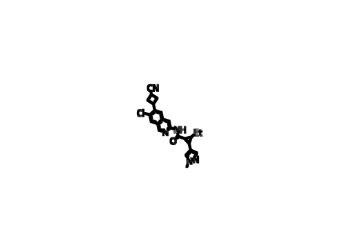 CCC1C(C(=O)Nc2cc3cc(C4CC(C#N)C4)c(Cl)cc3cn2)C1c1cnn(C)c1